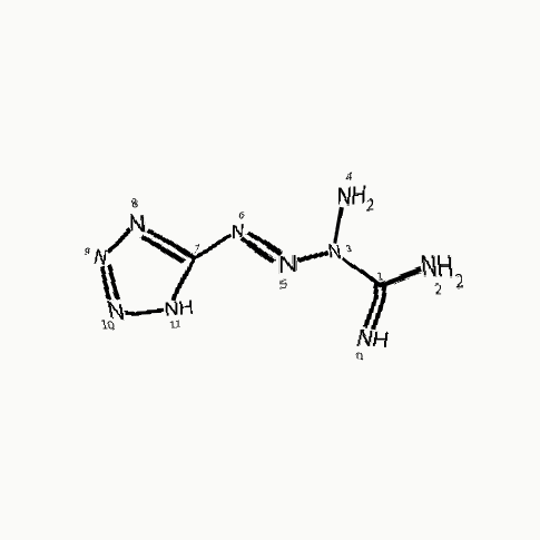 N=C(N)N(N)/N=N/c1nnn[nH]1